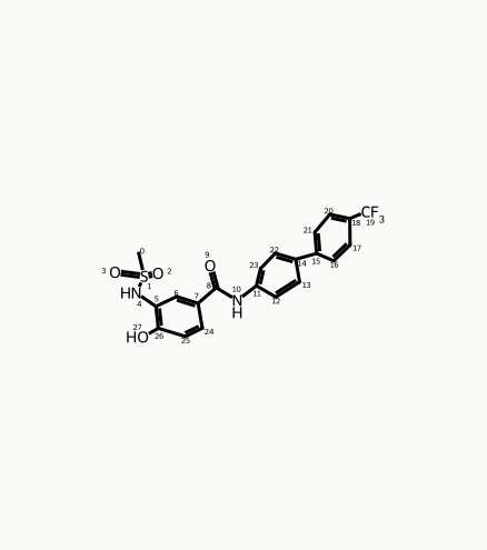 CS(=O)(=O)Nc1cc(C(=O)Nc2ccc(-c3ccc(C(F)(F)F)cc3)cc2)ccc1O